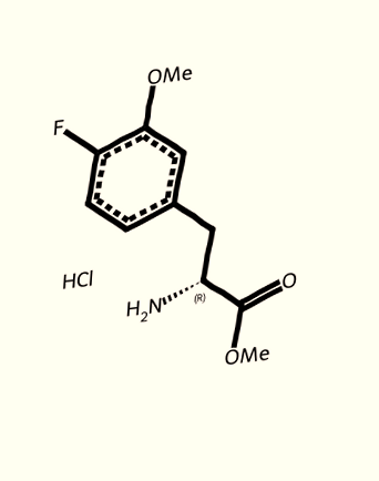 COC(=O)[C@H](N)Cc1ccc(F)c(OC)c1.Cl